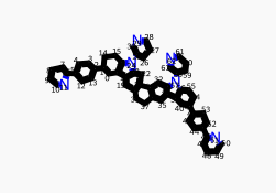 C1=C(c2ccc(-c3ccccn3)cc2)CCc2c1c1cc3c(cc1n2-c1cccnc1)-c1cc2c(cc1CC3)c1cc(-c3ccc(-c4ccccn4)cc3)ccc1n2-c1cccnc1